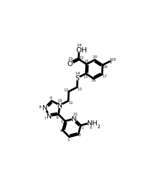 Nc1cccc(-c2nncn2CCCSc2ccc(I)cc2C(=O)O)n1